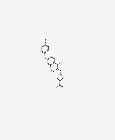 C=C(C)C1CN(CC2=C(C)c3ccc(Cc4ccc(F)cc4)cc3CC2)C1